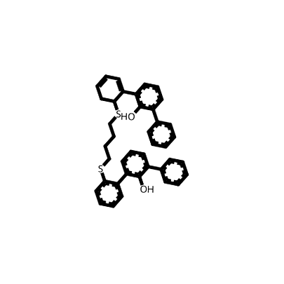 Oc1c(C2=CC=CCC2SCCCCSc2ccccc2-c2cccc(-c3ccccc3)c2O)cccc1-c1ccccc1